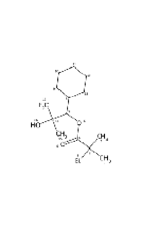 CCC(C)(C)C(=O)OC(C1CCCCC1)C(C)(O)C(F)(F)F